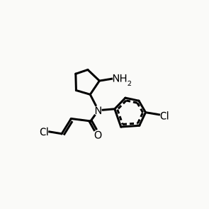 NC1CCCC1N(C(=O)C=CCl)c1ccc(Cl)cc1